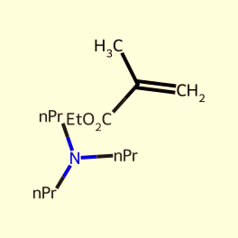 C=C(C)C(=O)OCC.CCCN(CCC)CCC